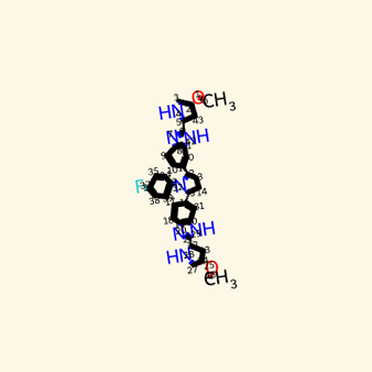 CO[C@@H]1CN[C@H](c2nc3ccc([C@H]4CC[C@H](c5ccc6nc([C@@H]7C[C@H](OC)CN7)[nH]c6c5)N4c4ccc(F)cc4)cc3[nH]2)C1